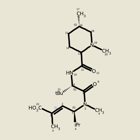 C/C(=C\[C@H](C(C)C)N(C)C(=O)[C@@H](NC(=O)C1CC[C@H](C)CN1C)C(C)(C)C)C(=O)O